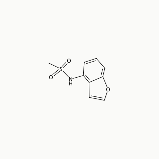 CS(=O)(=O)Nc1cccc2occc12